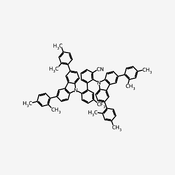 Cc1ccc(-c2ccc3c(c2)c2cc(-c4ccc(C)cc4C)ccc2n3-c2ccc(C(F)(F)F)cc2-c2cccc(C#N)c2-n2c3ccc(-c4ccc(C)cc4C)cc3c3cc(-c4ccc(C)cc4C)ccc32)c(C)c1